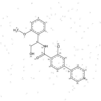 COc1ccccc1C(CO)NC(=O)c1ccc(-c2ccncc2)cc1Cl